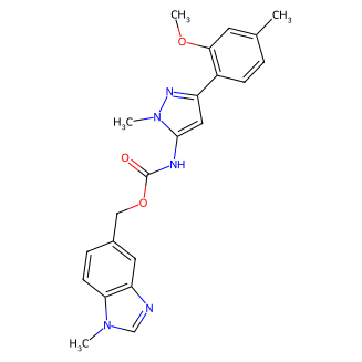 COc1cc(C)ccc1-c1cc(NC(=O)OCc2ccc3c(c2)ncn3C)n(C)n1